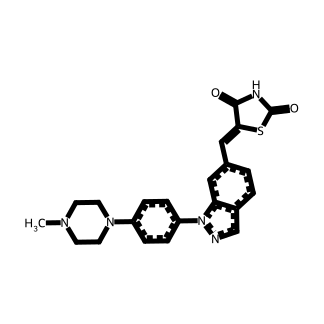 CN1CCN(c2ccc(-n3ncc4ccc(/C=C5\SC(=O)NC5=O)cc43)cc2)CC1